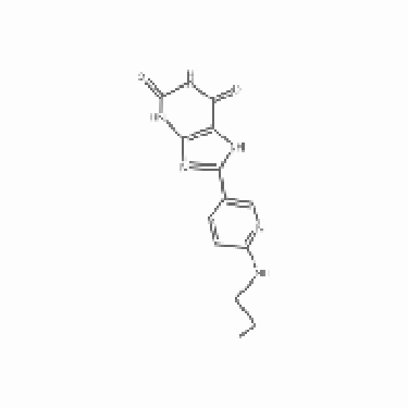 CCCNc1ccc(-c2nc3[nH]c(=O)[nH]c(=O)c3[nH]2)cn1